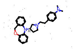 CN(C)c1ccc(CCN2CC[C@@H](N3c4ccccc4COc4ccccc43)C2)cc1